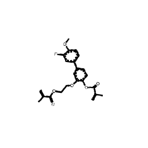 C=C(C)C(=O)OCCOc1cc(-c2ccc(OC)c(F)c2)ccc1OC(=O)C(=C)C